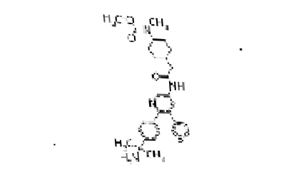 COC(=O)N(C)C1CCC(CC(=O)Nc2cnc(-c3ccc(C(C)(C)N)cc3)c(-c3ccsc3)c2)CC1